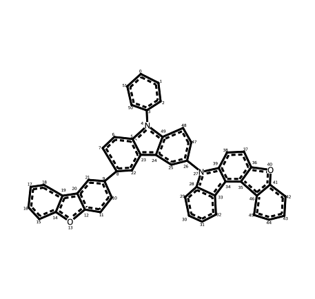 c1ccc(-n2c3ccc(-c4ccc5oc6ccccc6c5c4)cc3c3cc(-n4c5ccccc5c5c6c(ccc54)oc4ccccc46)ccc32)cc1